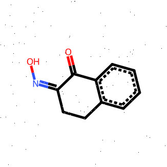 O=C1C(=NO)CCc2ccccc21